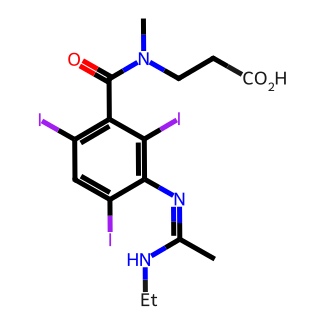 CCNC(C)=Nc1c(I)cc(I)c(C(=O)N(C)CCC(=O)O)c1I